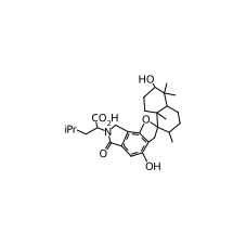 CC(C)CC(C(=O)O)N1Cc2c(cc(O)c3c2OC2(C3)C(C)CCC3C(C)(C)C(O)CCC32C)C1=O